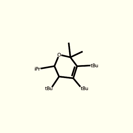 CC(C)C1OC(C)(C)C(C(C)(C)C)=C(C(C)(C)C)C1C(C)(C)C